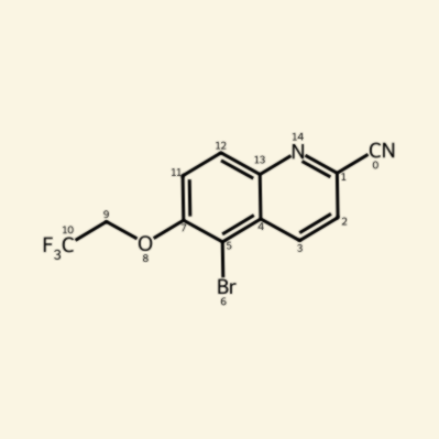 N#Cc1ccc2c(Br)c(OCC(F)(F)F)ccc2n1